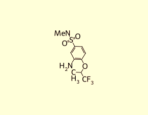 CNS(=O)(=O)c1ccc(OC(C)C(F)(F)F)c(N)c1